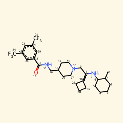 CC1CCCCC1NC(CN1CCC(CNC(=O)c2cc(C(F)(F)F)cc(C(F)(F)F)c2)CC1)=C1CCC1